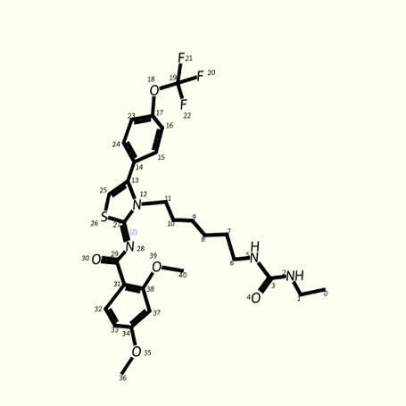 CCNC(=O)NCCCCCCn1c(-c2ccc(OC(F)(F)F)cc2)cs/c1=N\C(=O)c1ccc(OC)cc1OC